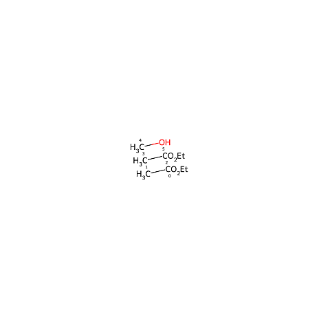 CCOC(C)=O.CCOC(C)=O.CO